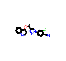 C[C@H](OC1=c2ccccc2=NCC1)c1cn(-c2ccc(C#N)c(Cl)c2)nn1